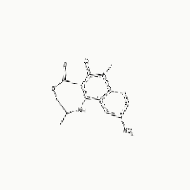 CC1COC(=O)c2c(c3cc([N+](=O)[O-])ccc3n(C)c2=O)N1